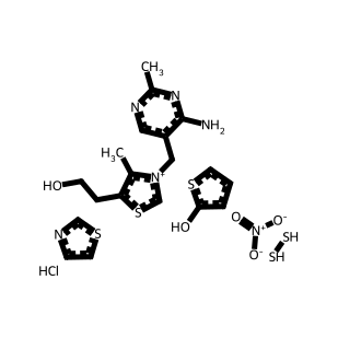 Cc1ncc(C[n+]2csc(CCO)c2C)c(N)n1.Cl.O=[N+]([O-])[O-].Oc1cccs1.SS.c1cscn1